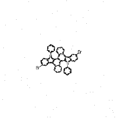 Brc1ccc2c(c1)c1c3ccccc3c3c(c4ccccc4c4c5cc(Br)ccc5n(-c5ccccc5)c43)c1n2-c1ccccc1